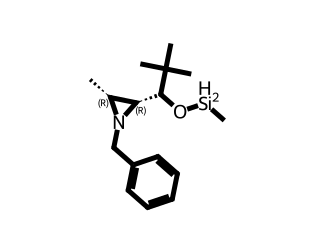 C[SiH2]OC([C@H]1[C@@H](C)N1Cc1ccccc1)C(C)(C)C